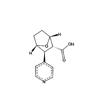 O=C(O)[C@@H]1[C@@H](c2ccncc2)[C@@H]2CC[C@H]1O2